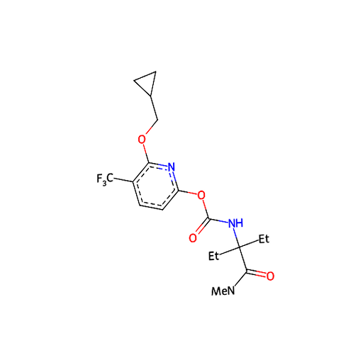 CCC(CC)(NC(=O)Oc1ccc(C(F)(F)F)c(OCC2CC2)n1)C(=O)NC